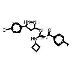 O=C(/N=C(/NC1CCC1)NC1CC(c2ccc(Cl)cc2)NN1)c1ccc(F)cc1